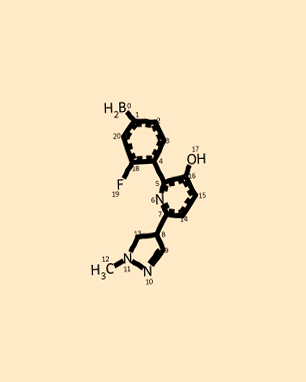 Bc1ccc(-c2nc(C3C=NN(C)C3)ccc2O)c(F)c1